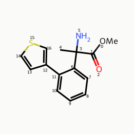 COC(=O)C(C)(N)c1ccccc1-c1ccsc1